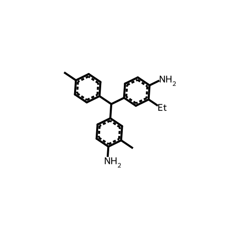 CCc1cc(C(c2ccc(C)cc2)c2ccc(N)c(C)c2)ccc1N